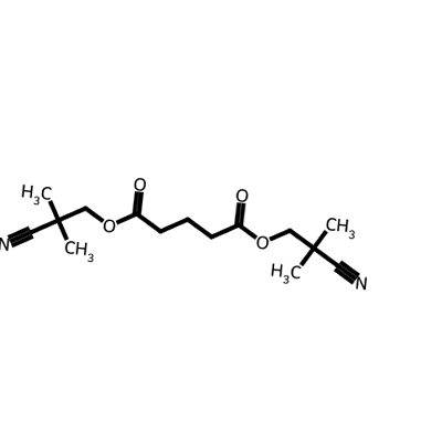 CC(C)(C#N)COC(=O)CCCC(=O)OCC(C)(C)C#N